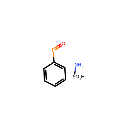 NS(=O)(=O)O.O=Pc1ccccc1